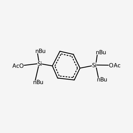 CCCC[Si](CCCC)(OC(C)=O)c1ccc([Si](CCCC)(CCCC)OC(C)=O)cc1